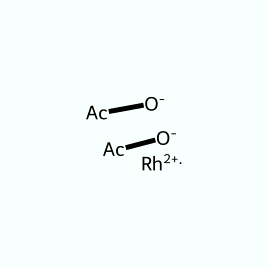 CC(=O)[O-].CC(=O)[O-].[Rh+2]